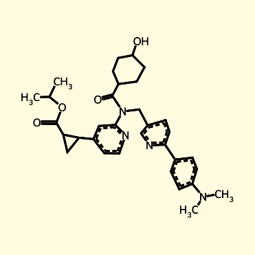 CC(C)OC(=O)C1CC1c1ccnc(N(Cc2ccc(-c3ccc(N(C)C)cc3)nc2)C(=O)C2CCC(O)CC2)c1